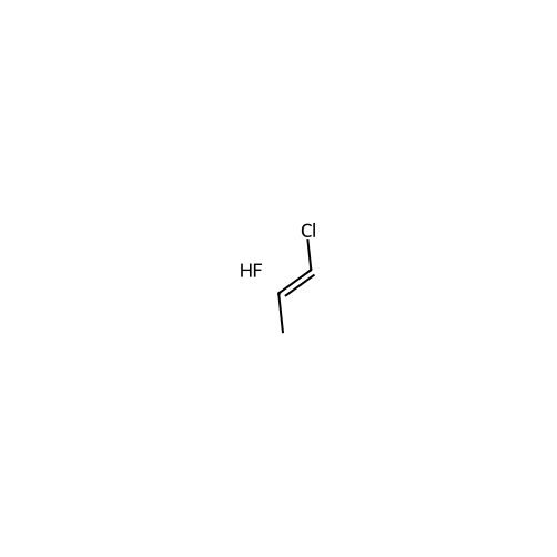 CC=CCl.F